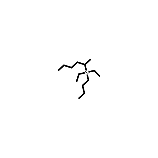 CCCCC(C)[Si](CC)(CC)CCCC